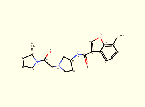 COc1cccc2c(C(=O)N[C@H]3CCN(CC(O)N4CCC[C@H]4C#N)C3)coc12